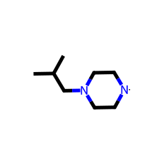 CC(C)CN1CC[N]CC1